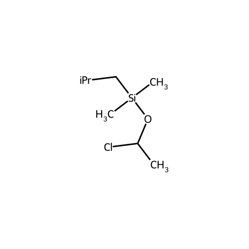 CC(C)C[Si](C)(C)OC(C)Cl